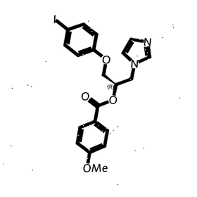 COc1ccc(C(=O)O[C@@H](COc2ccc(I)cc2)Cn2ccnc2)cc1